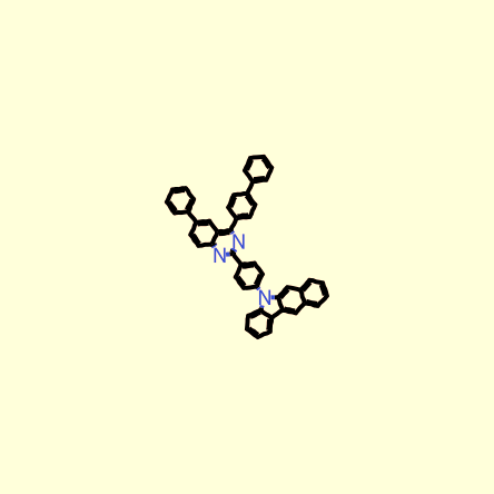 c1ccc(-c2ccc(-c3nc(-c4ccc(-n5c6ccccc6c6cc7ccccc7cc65)cc4)nc4ccc(-c5ccccc5)cc34)cc2)cc1